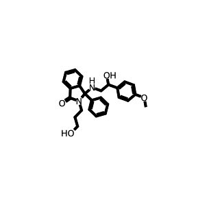 COc1ccc(C(O)CNC2(c3ccccc3)c3ccccc3C(=O)N2CCCO)cc1